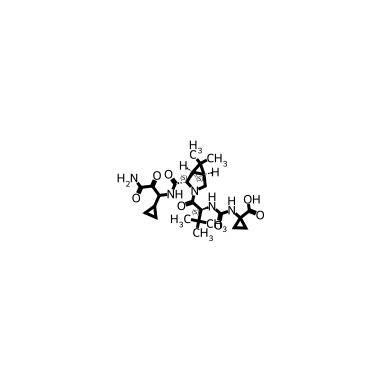 CC(C)(C)[C@H](NC(=O)NC1(C(=O)O)CC1)C(=O)N1C[C@H]2[C@@H]([C@H]1C(=O)NC(C(=O)C(N)=O)C1CC1)C2(C)C